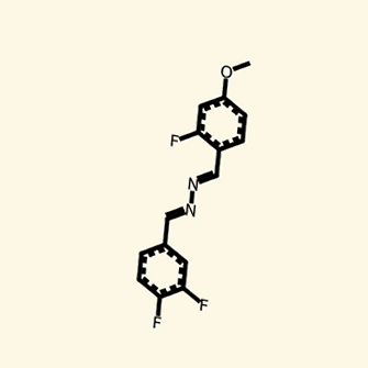 COc1ccc(C=NN=Cc2ccc(F)c(F)c2)c(F)c1